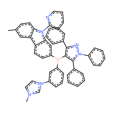 Cc1ccc2c(c1)c1ccc(B(c3cccc(-n4cc[n+](C)c4)c3)c3c(-c4ccccc4)nn(-c4ccccc4)c3-c3ccccc3)cc1n2-c1ccccn1